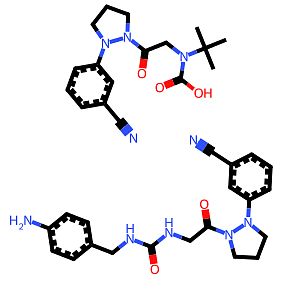 CC(C)(C)N(CC(=O)N1CCCN1c1cccc(C#N)c1)C(=O)O.N#Cc1cccc(N2CCCN2C(=O)CNC(=O)NCc2ccc(N)cc2)c1